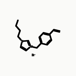 C=Cc1ccc(C[n+]2ccn(CCCC)c2)cc1.[Br-]